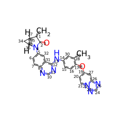 C=C1C(=O)N(c2ccc3ncnc(Nc4ccc(Oc5ccn6ncnc6c5)c(C)c4)c3c2)[C@@H]2C[C@H]12